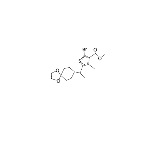 COC(=O)c1c(Br)sc(C(C)C2CCC3(CC2)OCCO3)c1C